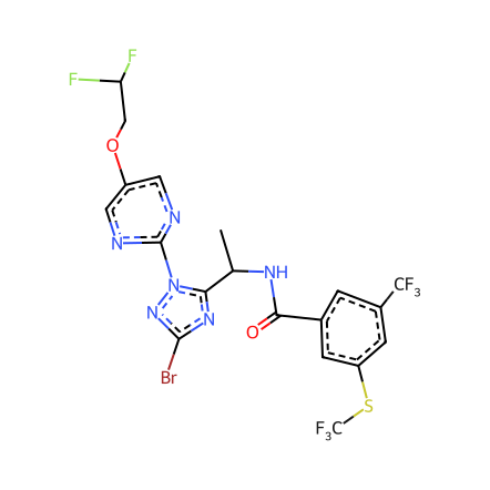 CC(NC(=O)c1cc(SC(F)(F)F)cc(C(F)(F)F)c1)c1nc(Br)nn1-c1ncc(OCC(F)F)cn1